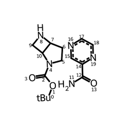 CC(C)(C)OC(=O)N1CCC2NCC21.NC(=O)c1cnccn1